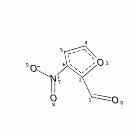 O=Cc1occc1[N+](=O)[O-]